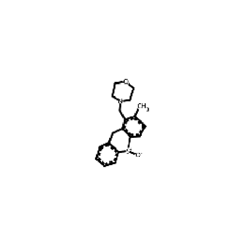 Cc1ccc2c(c1CN1CCOCC1)Cc1ccccc1[S+]2[O-]